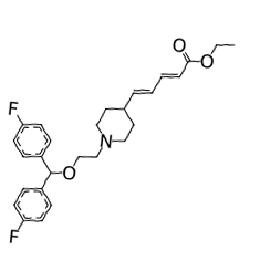 CCOC(=O)/C=C/C=C/C1CCN(CCOC(c2ccc(F)cc2)c2ccc(F)cc2)CC1